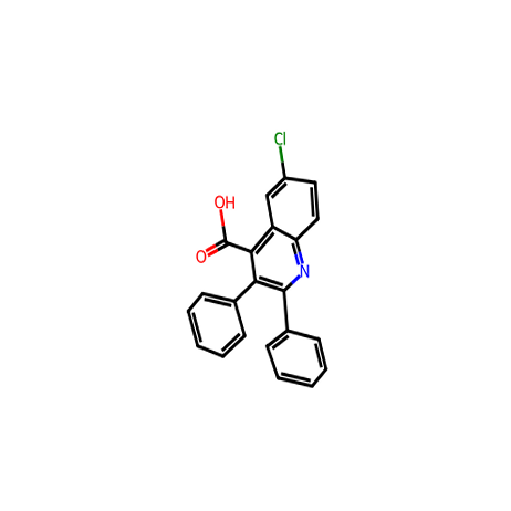 O=C(O)c1c(-c2ccccc2)c(-c2ccccc2)nc2ccc(Cl)cc12